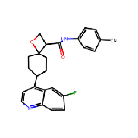 N#Cc1ccc(NC(=O)C2COC23CCC(c2ccnc4ccc(F)cc24)CC3)cc1